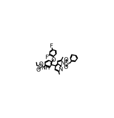 CCS(=O)(=O)Nc1ccc(Oc2ccc(F)cc2F)c(-c2cc(C)nc3c2cc(C)n3S(=O)(=O)Cc2ccccc2)c1